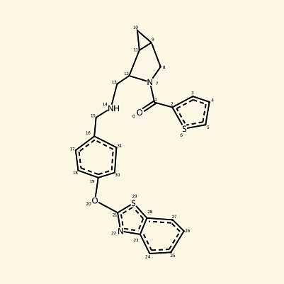 O=C(c1cccs1)N1CC2CC2C1CNCc1ccc(Oc2nc3ccccc3s2)cc1